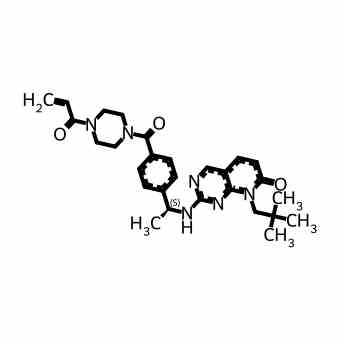 C=CC(=O)N1CCN(C(=O)c2ccc([C@H](C)Nc3ncc4ccc(=O)n(CC(C)(C)C)c4n3)cc2)CC1